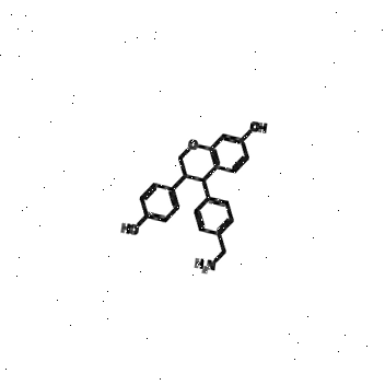 NCc1ccc(C2c3ccc(O)cc3OCC2c2ccc(O)cc2)cc1